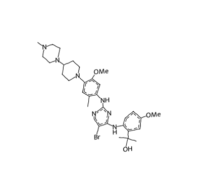 COc1ccc(Nc2nc(Nc3cc(OC)c(N4CCC(N5CCN(C)CC5)CC4)cc3C)ncc2Br)c(C(C)(C)O)c1